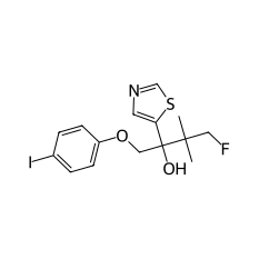 CC(C)(CF)C(O)(COc1ccc(I)cc1)c1cncs1